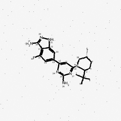 C[C@@H]1C[CH]C(C(C)(C)C)N(c2cc(-c3cc(F)c4c(N)n[nH]c4c3)nc(N)n2)C1